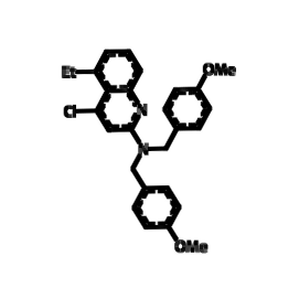 CCc1cccc2nc(N(Cc3ccc(OC)cc3)Cc3ccc(OC)cc3)cc(Cl)c12